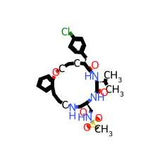 CC(C)[C@H]1NC(=O)[C@@H](Cc2ccc(Cl)cc2)CCCOc2ccccc2CCCNC(=O)[C@H](CNS(C)(=O)=O)NC1=O